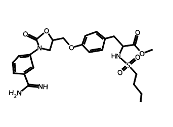 CCCCS(=O)(=O)NC(Cc1ccc(OCC2CN(c3cccc(C(=N)N)c3)C(=O)O2)cc1)C(=O)OC